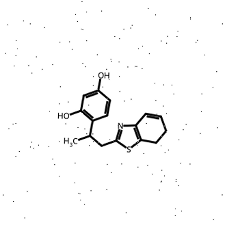 CC(Cc1nc2c(s1)CCC=C2)c1ccc(O)cc1O